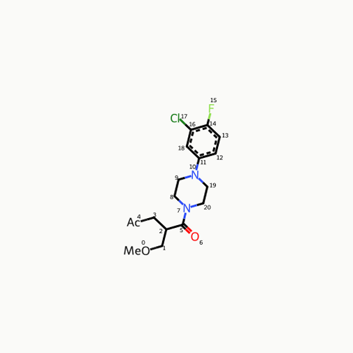 COCC(CC(C)=O)C(=O)N1CCN(c2ccc(F)c(Cl)c2)CC1